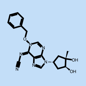 [CH2][C@]1(O)C[C@@H](n2cnc3/c(=N\C#N)n(OCc4ccccc4)cnc32)C[C@@H]1O